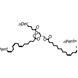 CCCCC/C=C\C/C=C\C/C=C\CCCCCCCCC(=O)OC[C@@H](COC(=O)CCCCCCCCCCCCC)OC(=O)CCCC/C=C\C/C=C\C/C=C\CCCCC